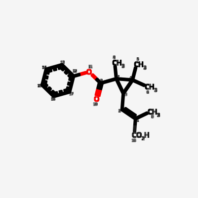 CC(=CC1C(C)(C)C1(C)C(=O)Oc1ccccc1)C(=O)O